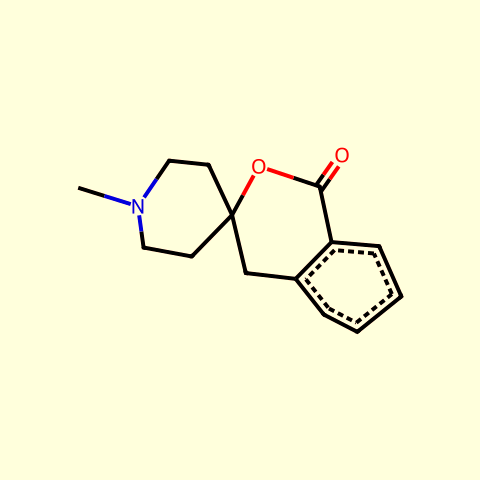 CN1CCC2(CC1)Cc1ccccc1C(=O)O2